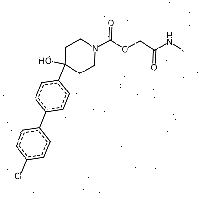 CNC(=O)COC(=O)N1CCC(O)(c2ccc(-c3ccc(Cl)cc3)cc2)CC1